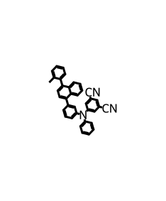 Cc1ccccc1-c1ccc(-c2cccc(N(c3ccccc3)c3cc(C#N)cc(C#N)c3)c2)c2ccccc12